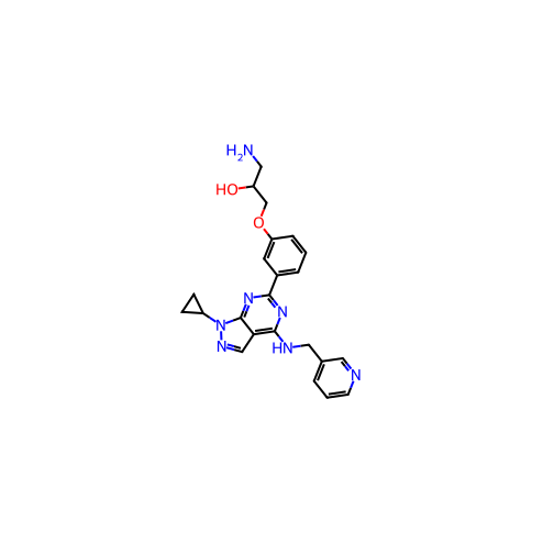 NCC(O)COc1cccc(-c2nc(NCc3cccnc3)c3cnn(C4CC4)c3n2)c1